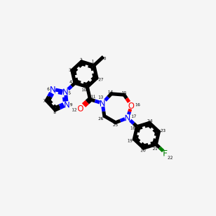 Cc1ccc(-n2nccn2)c(C(=O)N2CCON(c3ccc(F)cc3)CC2)c1